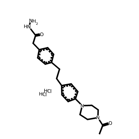 CC(=O)N1CCN(c2ccc(CCc3ccc(CC(=O)NN)cc3)cc2)CC1.Cl.Cl